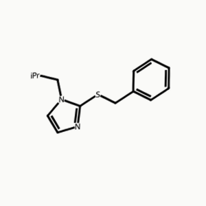 CC(C)Cn1ccnc1SCc1ccccc1